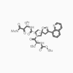 CCC[C@H](NC(=O)[C@@H]1C[C@]2(CC(c3cccc4cccnc34)=NO2)CN1C(=O)[C@@H](NC(=O)OC(C)(C)C)C(C)(C)C)C(=O)C(=O)NC